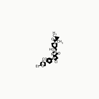 CC[C@H]1CN(C(=O)O)[C@H](c2ccc(-n3c(Cl)cc4c(=O)n(CC5(O)CCN(C(=O)[C@@]6(C)C[C@@H]6C)CC5)cnc43)cc2)CO1